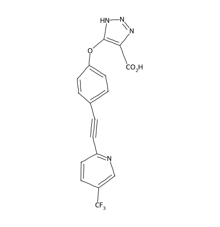 O=C(O)c1nn[nH]c1Oc1ccc(C#Cc2ccc(C(F)(F)F)cn2)cc1